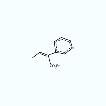 C/C=C(\C(=O)OCC)c1cccnc1